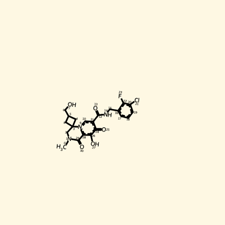 CN1CC2(CC(CO)C2)n2cc(C(=O)NCc3cccc(Cl)c3F)c(=O)c(O)c2C1=O